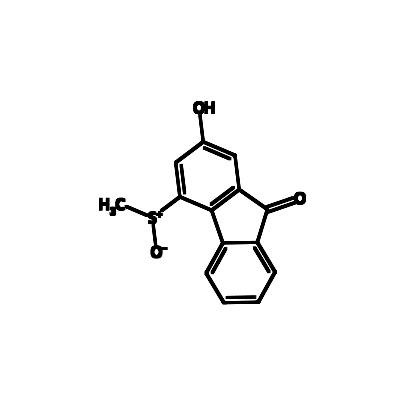 C[S+]([O-])c1cc(O)cc2c1-c1ccccc1C2=O